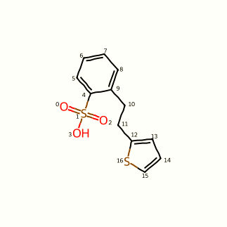 O=S(=O)(O)c1ccccc1CCc1cccs1